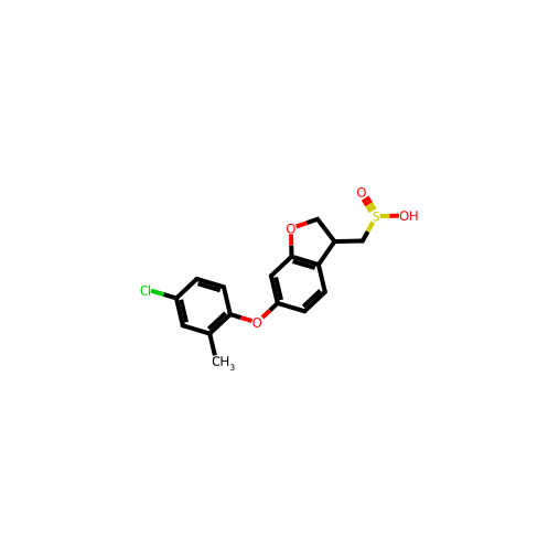 Cc1cc(Cl)ccc1Oc1ccc2c(c1)OCC2CS(=O)O